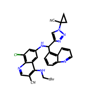 CC(C)(C)CNc1c(C#N)cnc2c(Cl)cc(NC(c3cn(C4(C#N)CC4)nn3)c3cccc4ncccc34)cc12